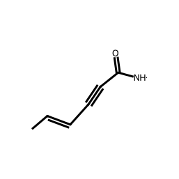 C/C=C/C#CC([NH])=O